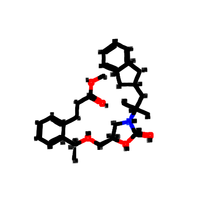 COC(=O)CCc1ccccc1[C@@H](C)OC[C@H]1CN(C(C)(C)CC2Cc3ccccc3C2)C(=O)O1